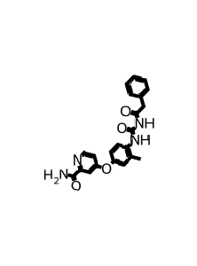 Cc1cc(Oc2ccnc(C(N)=O)c2)ccc1NC(=O)NC(=O)Cc1ccccc1